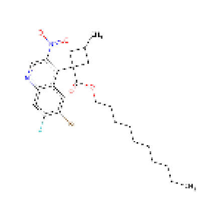 CCCCCCCCCCOC(=O)C1(c2c([N+](=O)[O-])cnc3cc(F)c(Br)cc23)CC(C)C1